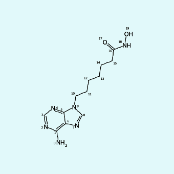 Nc1ncnc2c1ncn2CCCCCCC(=O)NO